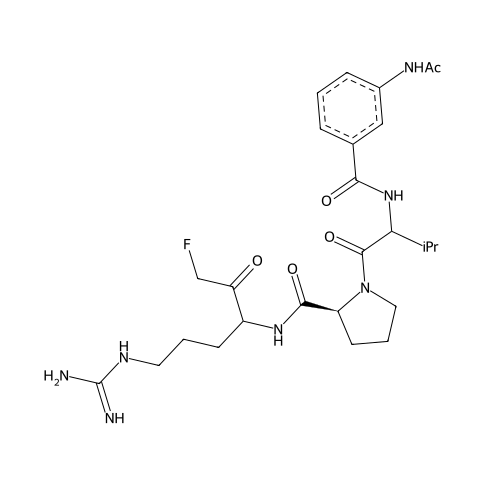 CC(=O)Nc1cccc(C(=O)NC(C(=O)N2CCC[C@H]2C(=O)NC(CCCNC(=N)N)C(=O)CF)C(C)C)c1